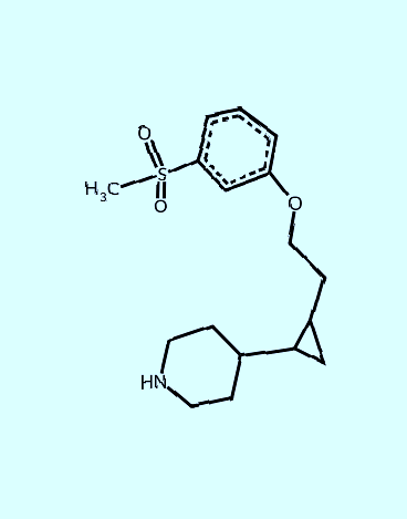 CS(=O)(=O)c1cccc(OCCC2CC2C2CCNCC2)c1